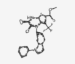 COC(=O)c1sc2[nH]c(=O)c(=O)n(-c3ccc4ccn(-c5ccccc5)c4c3)c2c1C(F)(F)F